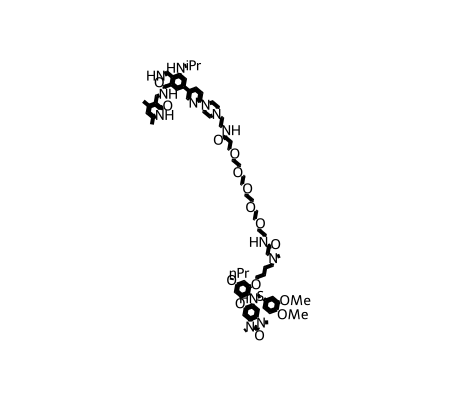 CCCOc1cc(OCCCCN(C)CC(=O)NCCOCCOCCOCCOCCOCCC(=O)NCCN2CCN(c3ccc(-c4cc(NC(C)C)c(C=N)c(C(=O)NCc5c(C)cc(C)[nH]c5=O)c4)cn3)CC2)cc(Oc2cc3c(cc2NSc2ccc(OC)c(OC)c2)n(C)c(=O)n3C)c1